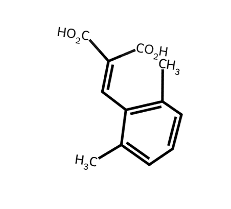 Cc1cccc(C)c1C=C(C(=O)O)C(=O)O